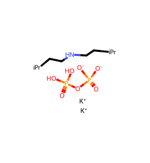 CC(C)CCNCCC(C)C.O=P([O-])([O-])OP(=O)(O)O.[K+].[K+]